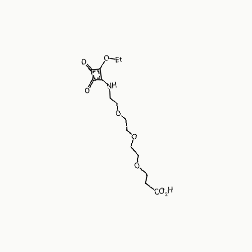 CCOc1c(NCCOCCOCCOCCC(=O)O)c(=O)c1=O